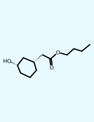 CCCCOC(=O)C[C@@H]1CCC[C@H](O)C1